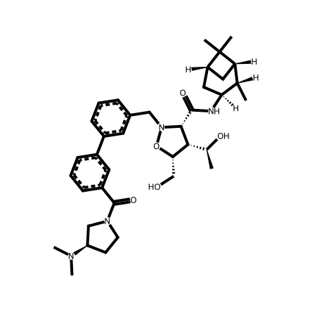 C[C@@H]1[C@@H](NC(=O)[C@@H]2[C@H]([C@H](C)O)[C@H](CO)ON2Cc2cccc(-c3cccc(C(=O)N4CC[C@@H](N(C)C)C4)c3)c2)C[C@H]2C[C@@H]1C2(C)C